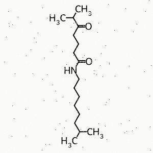 CC(C)CCCCCCNC(=O)CCCC(=O)C(C)C